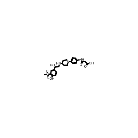 CS(=O)(=O)c1cc([C@@H](O)CNC2CCN(c3ccc(NC(=O)CC(=O)O)cc3)CC2)ccc1O